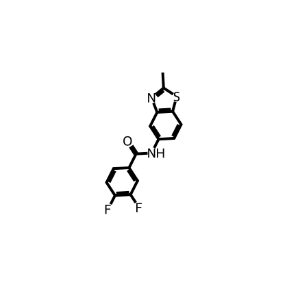 Cc1nc2cc(NC(=O)c3ccc(F)c(F)c3)ccc2s1